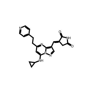 O=C1C/C(=C\c2cnn3c(NC4CC4)cc(CCc4ccncc4)nc23)C(=O)N1